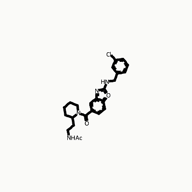 CC(=O)NCCC1CCCCN1C(=O)c1ccc2oc(NCc3cccc(Cl)c3)nc2c1